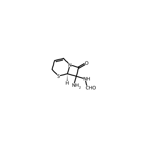 NC1(NC=O)C(=O)N2C=CCS[C@@H]21